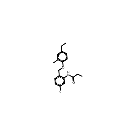 CCC(=O)Nc1cc(Cl)ccc1COc1ccc(CC)cc1C